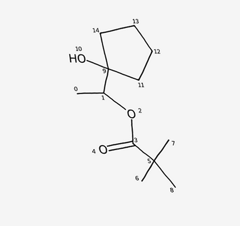 CC(OC(=O)C(C)(C)C)C1(O)CCCC1